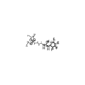 CCO[Si](CCCCNC(=O)Nc1c(F)c(F)c(F)c(F)c1F)(OCC)OCC